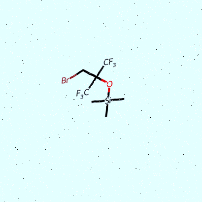 C[Si](C)(C)OC(CBr)(C(F)(F)F)C(F)(F)F